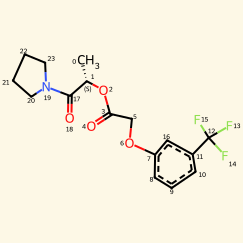 C[C@H](OC(=O)COc1cccc(C(F)(F)F)c1)C(=O)N1CCCC1